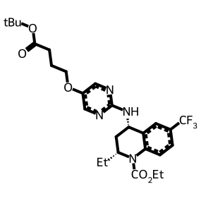 CCOC(=O)N1c2ccc(C(F)(F)F)cc2[C@@H](Nc2ncc(OCCCC(=O)OC(C)(C)C)cn2)C[C@H]1CC